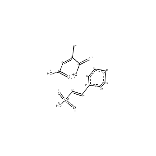 CC(=CC(=O)O)C(=O)O.O=S(=O)(O)C=Cc1ccccc1